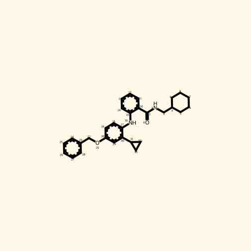 O=C(NCC1CCCCC1)c1ccccc1Nc1ccc(OCc2ccccc2)cc1C1CC1